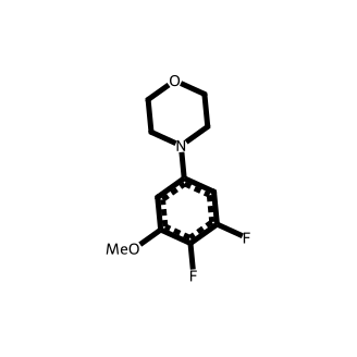 COc1cc(N2CCOCC2)cc(F)c1F